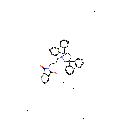 O=C1c2ccccc2C(=O)N1CCCN1C[Si](c2ccccc2)(c2ccccc2)CC[Si]1(c1ccccc1)c1ccccc1